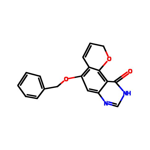 O=c1[nH]cnc2cc(OCc3ccccc3)c3c(c12)OCC=C3